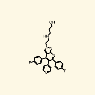 OCCCNCCn1cc2c(-c3ccc(F)cc3)c(-c3ccncc3)c(-c3ccc(F)cc3)nc2n1